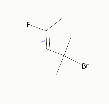 C/C(F)=C\C(C)(C)Br